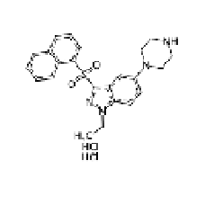 CCn1nc(S(=O)(=O)c2cccc3ccccc23)c2cc(N3CCNCC3)ccc21.Cl.Cl